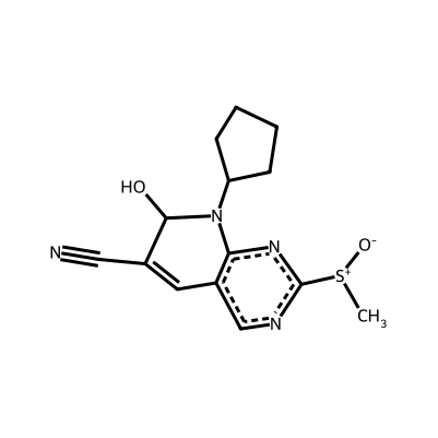 C[S+]([O-])c1ncc2c(n1)N(C1CCCC1)C(O)C(C#N)=C2